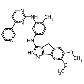 COc1cc2c(cc1OC)-c1n[nH]c(Nc3ccc(C)c(Nc4nccc(-c5cccnc5)n4)c3)c1C2